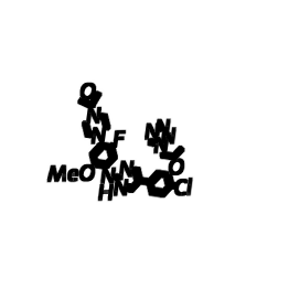 COc1cc(N2CCN(C3COC3)CC2)c(F)cc1Nc1ncc(-c2ccc(Cl)c(OC(C)Cn3cnnn3)c2)cn1